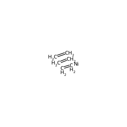 C=C.C=C.C=C.[Ni]